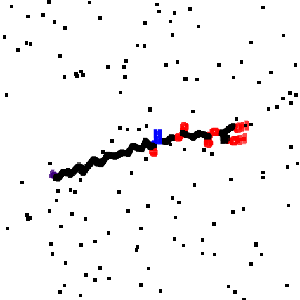 O=C(CCCCCCCCCCCCCCI)NCCOC(=O)CCC(=O)OC(CO)CO